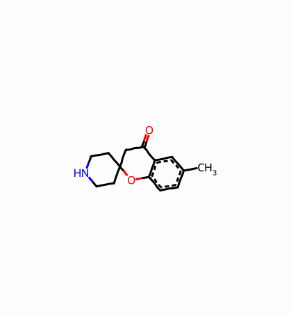 Cc1ccc2c(c1)C(=O)CC1(CCNCC1)O2